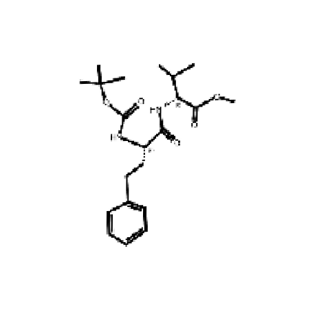 COC(=O)[C@H](NC(=O)[C@H](CCc1ccccc1)NC(=O)OC(C)(C)C)C(C)C